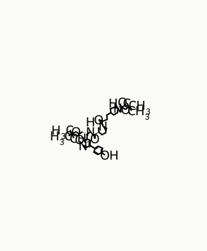 CC(C)(C)OC(=O)C[C@H](NC(=O)[C@@H]1CCCN(C(=O)CCC2CCN(C(=O)OC(C)(C)C)CC2)C1)c1cncc(-c2ccc(O)cc2)c1